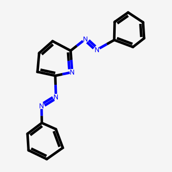 c1ccc(/N=N/c2cccc(/N=N/c3ccccc3)n2)cc1